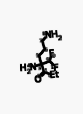 CCC(=O)C(N)(CCCN)C(F)F